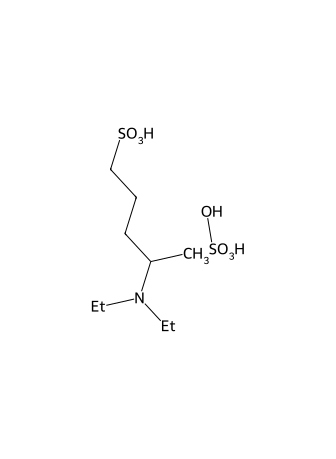 CCN(CC)C(C)CCCS(=O)(=O)O.O=S(=O)(O)O